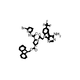 Nc1ncnc2c1c1cc(C(F)(F)F)ccc1n2CC(=O)N1C[C@@H](C(=O)OCC2c3ccccc3-c3ccccc32)C[C@H]1C(=O)Nc1cccc(Br)n1